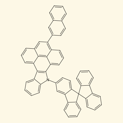 c1ccc2c(c1)-c1ccccc1C21c2ccccc2-c2cc(-n3c4ccccc4c4c5cccc6cc(-c7ccc8ccccc8c7)c7cccc(c7c65)c43)ccc21